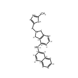 Cc1ncc(CN2Cc3ncnc(Nc4cnc5ccccc5c4)c3C2)s1